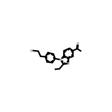 CCc1nc2cc(C(C)=O)ccc2n1-c1ccc(CCCl)cc1